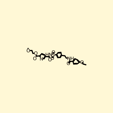 CCOc1ccc(C(=O)NCCc2ccc(S(=O)(=O)NC(=O)c3ccc(C(=O)OCCOC)nc3)cc2)cc1